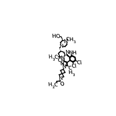 C=CC(=O)N1CC2(CC(n3nc(N4CC[C@@H](CN5CCN(C)[C@H](CO)C5)CC4(C)C)c(-c4c(Cl)c(Cl)cc5[nH]ncc45)c3C)C2)C1